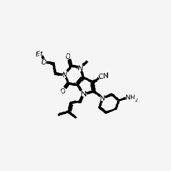 CCOCCn1c(=O)c2c(c(C#N)c(N3CCCC(N)C3)n2CC=C(C)C)n(C)c1=O